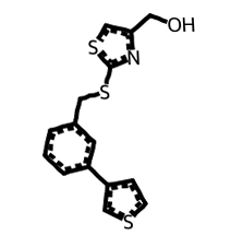 OCc1csc(SCc2cccc(-c3ccsc3)c2)n1